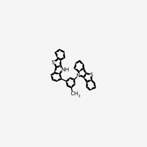 Cc1cc(-c2cccc3c2[nH]c2c4ccccc4sc32)cc(-n2c3ccccc3c3sc4ccccc4c32)c1